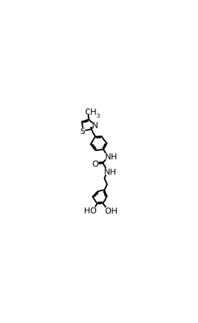 Cc1csc(-c2ccc(NC(=O)NCCc3ccc(O)c(O)c3)cc2)n1